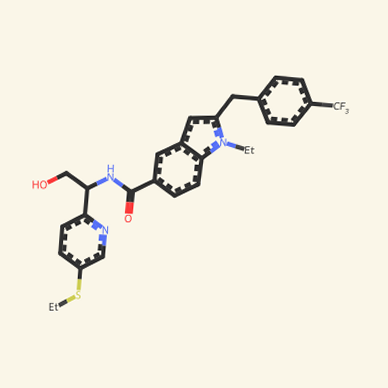 CCSc1ccc(C(CO)NC(=O)c2ccc3c(c2)cc(Cc2ccc(C(F)(F)F)cc2)n3CC)nc1